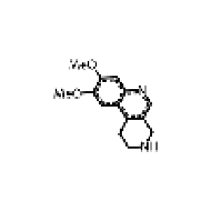 COc1cc2ncc3c(c2cc1OC)CCNC3